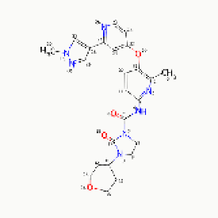 Cc1nc(NC(=O)N2CCN(C3CCOCC3)C2=O)ccc1Oc1ccnc(-c2cnn(C)c2)c1